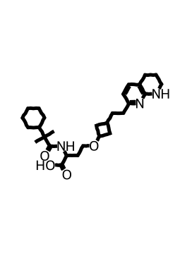 CC(C)(C(=O)NC(CCOC1CC(CCc2ccc3c(n2)NCCC3)C1)C(=O)O)C1CCCCC1